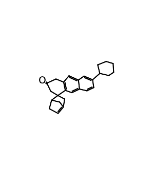 O=C1Cc2cc3cc(C4CCCCC4)ccc3cc2C2(C1)CC1=CCC2C1